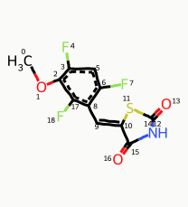 COc1c(F)cc(F)c(C=C2SC(=O)NC2=O)c1F